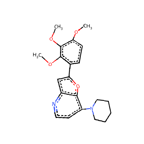 COc1ccc(-c2cc3nccc(N4CCCCC4)c3o2)c(OC)c1OC